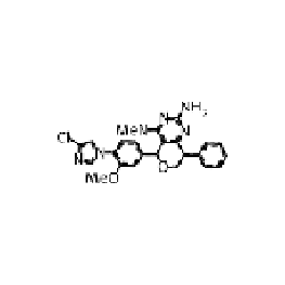 CNc1nc(N)nc2c1C(c1ccc(-n3cnc(Cl)c3)c(OC)c1)OCC2c1ccccc1